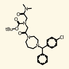 CN(C)C(=O)CN(CC(=O)N1CCCN(C(c2ccccc2)c2ccc(Cl)cc2)CC1)C(=O)OC(C)(C)C